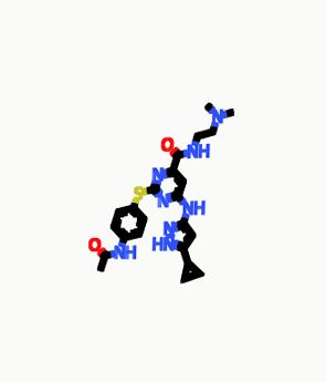 CC(=O)Nc1ccc(Sc2nc(Nc3cc(C4CC4)[nH]n3)cc(C(=O)NCCN(C)C)n2)cc1